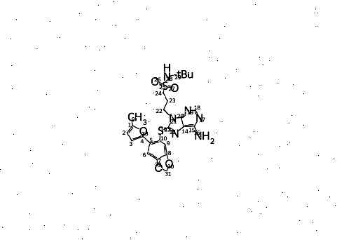 Cc1ccc(-c2cc3c(cc2Sc2nc4c(N)ncnc4n2CCCS(=O)(=O)NC(C)(C)C)OCO3)o1